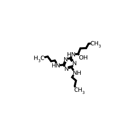 CCCCNc1nc(NCCCC)nc(NC(O)CCCC)n1